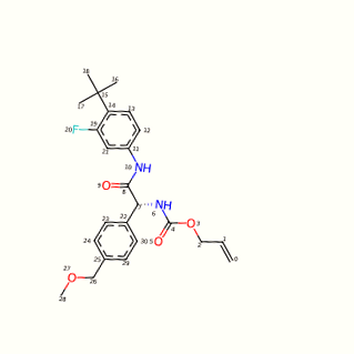 C=CCOC(=O)N[C@@H](C(=O)Nc1ccc(C(C)(C)C)c(F)c1)c1ccc(COC)cc1